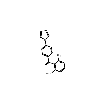 Cc1cccc(C(=O)O)c1C(=O)c1ccc(-n2ccnc2)cc1